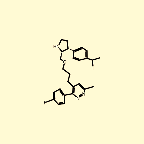 Cc1cc(CCCOC[C@H]2NCC[C@@H]2c2ccc(C(C)I)cc2)c(-c2ccc(F)cc2)nn1